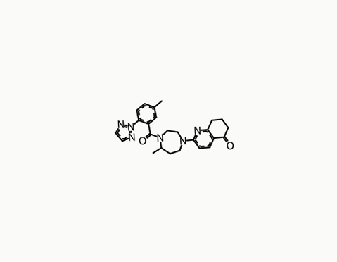 Cc1ccc(-n2nccn2)c(C(=O)N2CCN(c3ccc4c(n3)CCCC4=O)CCC2C)c1